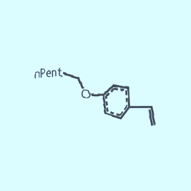 [CH2]CCCCCOc1ccc(C=C)cc1